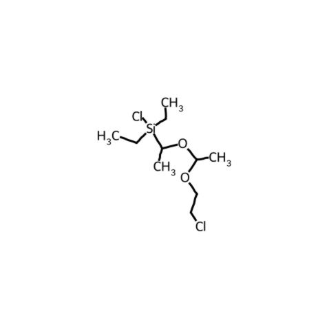 CC[Si](Cl)(CC)C(C)OC(C)OCCCl